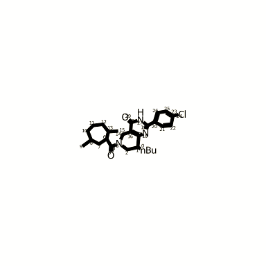 CCCCC1CN(C(=O)C2CC(C)CCCC2C)Cc2c1nc(-c1ccc(Cl)cc1)[nH]c2=O